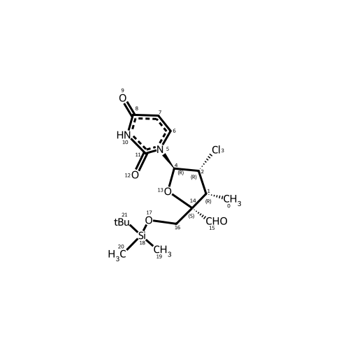 C[C@H]1[C@@H](Cl)[C@H](n2ccc(=O)[nH]c2=O)O[C@]1(C=O)CO[Si](C)(C)C(C)(C)C